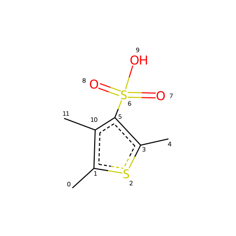 Cc1sc(C)c(S(=O)(=O)O)c1C